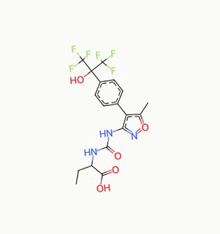 CCC(NC(=O)Nc1noc(C)c1-c1ccc(C(O)(C(F)(F)F)C(F)(F)F)cc1)C(=O)O